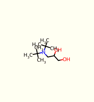 CC(C)(C)N(CC(O)CO)C(C)(C)C